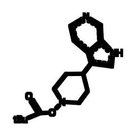 CC(C)(C)C(=O)ON1CCC(c2c[nH]c3cnccc23)CC1